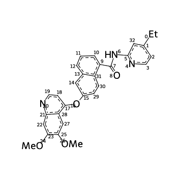 CCc1ccnc(NC(=O)c2cccc3cc(Oc4ccnc5cc(OC)c(OC)cc45)ccc23)c1